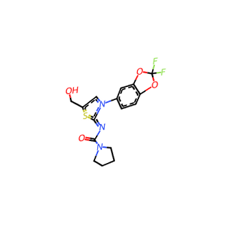 O=C(N=c1sc(CO)cn1-c1ccc2c(c1)OC(F)(F)O2)N1CCCC1